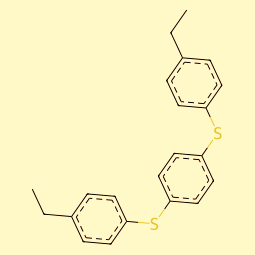 CCc1ccc(Sc2ccc(Sc3ccc(CC)cc3)cc2)cc1